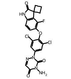 Nn1c(=O)cnn(-c2cc(Cl)c(Oc3ccc4c(c3F)C3(CCC3)C(=O)N4)c(Cl)c2)c1=O